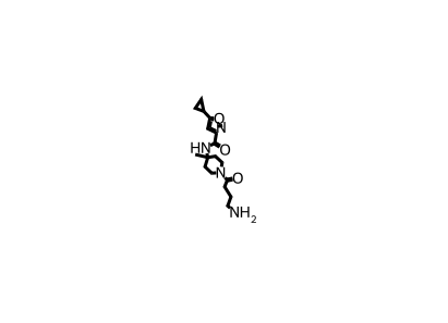 CC1(NC(=O)c2cc(C3CC3)on2)CCN(C(=O)CCCN)CC1